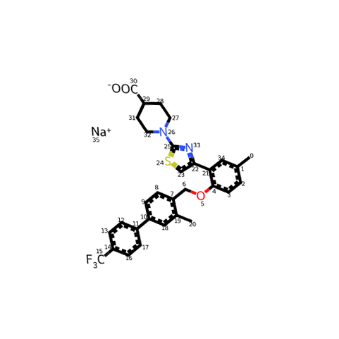 Cc1ccc(OCc2ccc(-c3ccc(C(F)(F)F)cc3)cc2C)c(-c2csc(N3CCC(C(=O)[O-])CC3)n2)c1.[Na+]